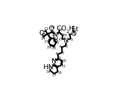 CCOCCN(CCCCc1ccc2c(n1)NCCC2)CCC(NC(=O)C1(c2ccccc2)COC1)C(=O)O